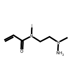 C=CC(=O)N(I)CCN(C)N